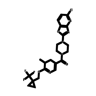 CC1CC(C(=O)N2CCN(c3nc4nc(Cl)ccc4o3)CC2)=CN=C1OCC1(C(F)(F)F)CC1